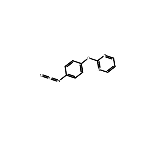 O=C=Nc1ccc(Oc2ncccn2)cc1